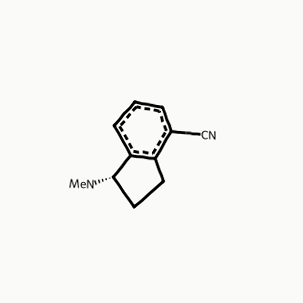 CN[C@H]1CCc2c(C#N)cccc21